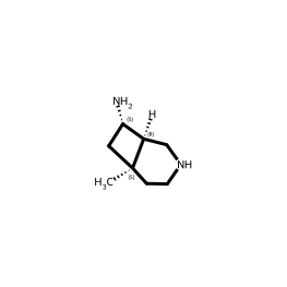 C[C@@]12CCNC[C@@H]1[C@@H](N)C2